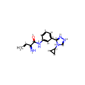 C=CC(=N)C(=O)Nc1cccc(-c2nncn2C2CC2)c1